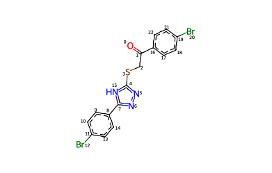 O=C(CSc1nnc(-c2ccc(Br)cc2)[nH]1)c1ccc(Br)cc1